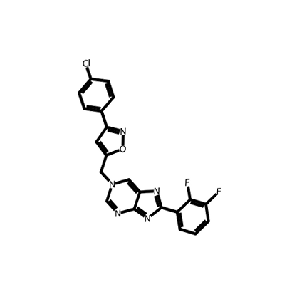 Fc1cccc(-c2nc3cn(Cc4cc(-c5ccc(Cl)cc5)no4)cnc-3n2)c1F